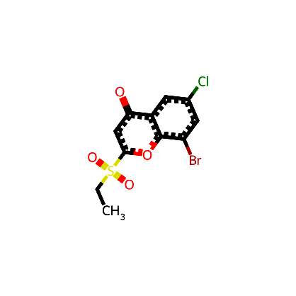 CCS(=O)(=O)c1cc(=O)c2cc(Cl)cc(Br)c2o1